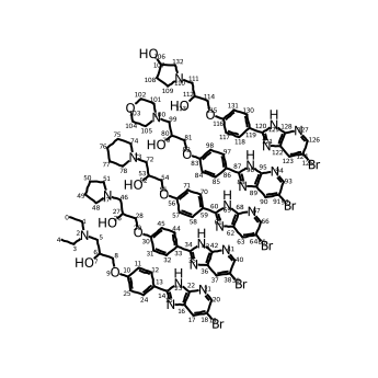 CCN(CC)CC(O)COc1ccc(-c2nc3cc(Br)cnc3[nH]2)cc1.OC(COc1ccc(-c2nc3cc(Br)cnc3[nH]2)cc1)CN1CCCC1.OC(COc1ccc(-c2nc3cc(Br)cnc3[nH]2)cc1)CN1CCCCC1.OC(COc1ccc(-c2nc3cc(Br)cnc3[nH]2)cc1)CN1CCOCC1.OC1CCN(CC(O)COc2ccc(-c3nc4cc(Br)cnc4[nH]3)cc2)C1